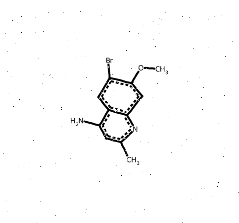 COc1cc2nc(C)cc(N)c2cc1Br